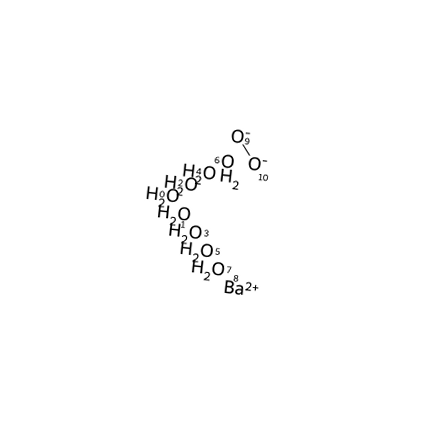 O.O.O.O.O.O.O.O.[Ba+2].[O-][O-]